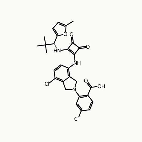 Cc1ccc([C@H](Nc2c(Nc3ccc(Cl)c4c3CN(c3cc(Cl)ccc3C(=O)O)C4)c(=O)c2=O)C(C)(C)C)o1